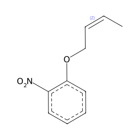 C/C=C\COc1ccccc1[N+](=O)[O-]